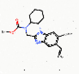 C=Cc1cc2nc(CN(C(=O)OC(C)(C)C)C3CCCCC3)[nH]c2cc1OC